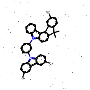 CC1(C)c2ccc(C#N)cc2-c2c1ccc1c2c2ccccc2n1-c1cccc(-n2c3ccc(C#N)cc3c3cc(C#N)ccc32)c1